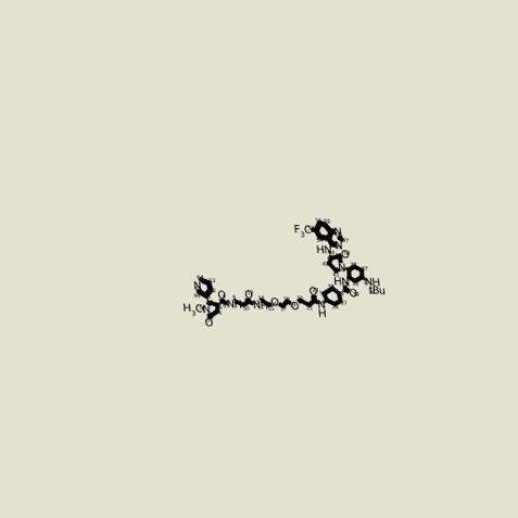 CN1C(=O)C[C@H](C(=O)NCCC(=O)NCCOCCOCCC(=O)N[C@H]2CC[C@@H](C(=O)N[C@@H]3C[C@H](NC(C)(C)C)CC[C@@H]3N3CC[C@H](Nc4ncnc5ccc(C(F)(F)F)cc45)C3=O)CC2)[C@H]1c1cccnc1